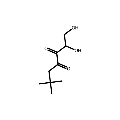 CC(C)(C)CC(=O)C(=O)C(O)CO